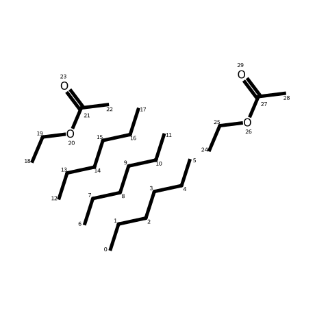 CCCCCC.CCCCCC.CCCCCC.CCOC(C)=O.CCOC(C)=O